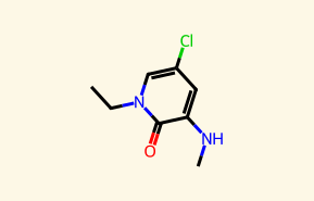 CCn1cc(Cl)cc(NC)c1=O